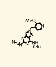 CCCCNc1nc(N=[N+]=[N-])nc2cn(Cc3ccncc3OC)nc12